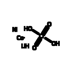 [Co].[LiH].[Ni].[O]=[Cr](=[O])([OH])[OH]